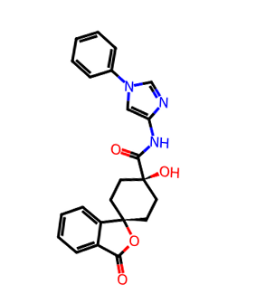 O=C1O[C@]2(CC[C@@](O)(C(=O)Nc3cn(-c4ccccc4)cn3)CC2)c2ccccc21